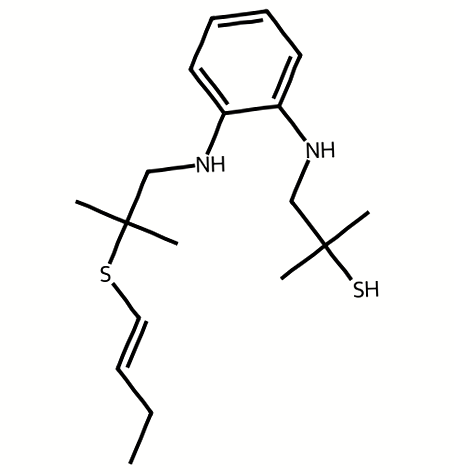 CCC=CSC(C)(C)CNc1ccccc1NCC(C)(C)S